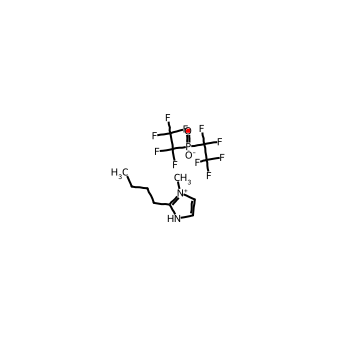 CCCCc1[nH]cc[n+]1C.O=P([O-])(C(F)(F)C(F)(F)F)C(F)(F)C(F)(F)F